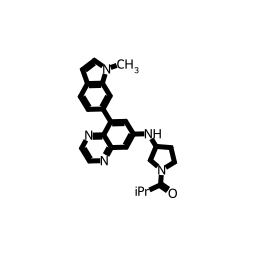 CC(C)C(=O)N1CCC(Nc2cc(-c3ccc4ccn(C)c4c3)c3nccnc3c2)C1